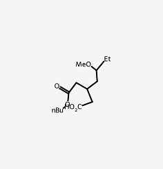 [CH2]CC(CC(CC(=O)O)CC(=O)OCCCC)OC